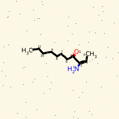 C/C=C(/N)C(=O)CCCCCCC